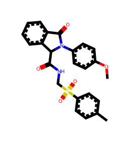 COc1ccc(N2C(=O)c3ccccc3C2C(=O)NCS(=O)(=O)c2ccc(C)cc2)cc1